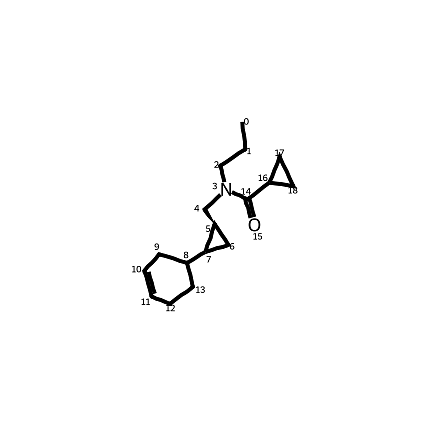 CCCN(C[C@H]1CC1C1CC=CCC1)C(=O)C1CC1